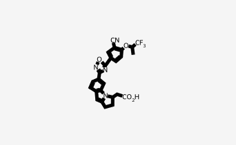 CC(Oc1ccc(-c2nc(-c3ccc4cc5n(c4c3)C(CC(=O)O)CC5)no2)cc1C#N)C(F)(F)F